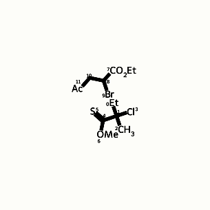 CCC(C)(Cl)C(=S)OC.CCOC(=O)C(Br)CC(C)=O